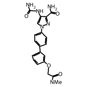 CNC(=O)COc1cccc(-c2ccc(-n3cc(NC(N)=O)c(C(N)=O)n3)cc2)c1